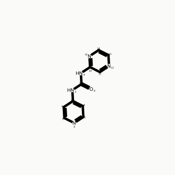 O=C(Nc1ccncc1)Nc1cnccn1